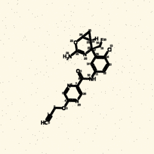 C#CCOc1cnc(C(=O)Nc2ccc(Cl)c([C@]3(CF)N=C(N)OC4C[C@H]43)c2)cn1